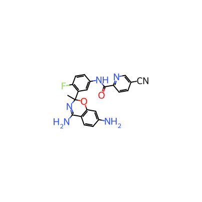 CC1(c2cc(NC(=O)c3ccc(C#N)cn3)ccc2F)N=C(N)c2ccc(N)cc2O1